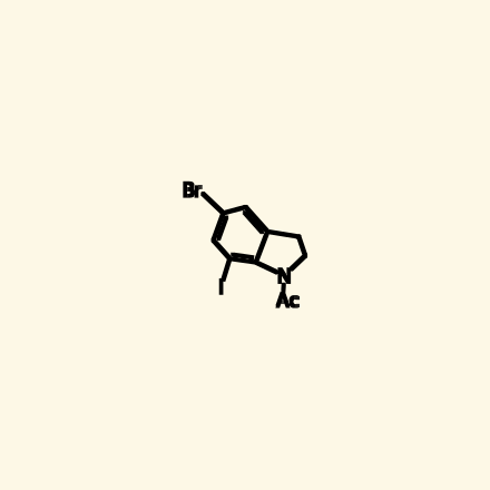 CC(=O)N1CCc2cc(Br)cc(I)c21